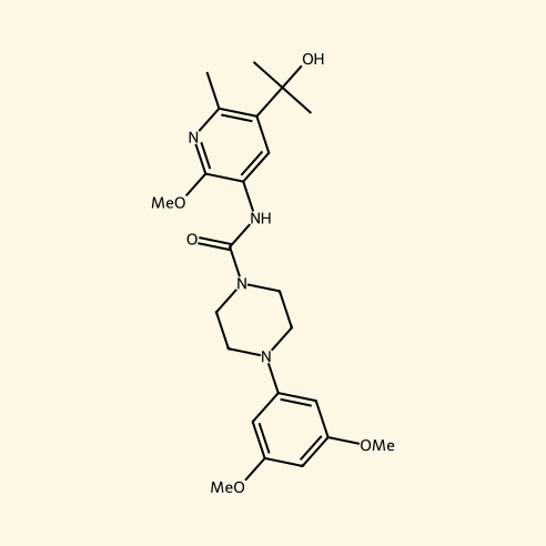 COc1cc(OC)cc(N2CCN(C(=O)Nc3cc(C(C)(C)O)c(C)nc3OC)CC2)c1